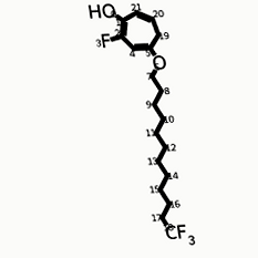 OC1=C(F)C=C(OCCCCCCCCCCCC(F)(F)F)CC=C1